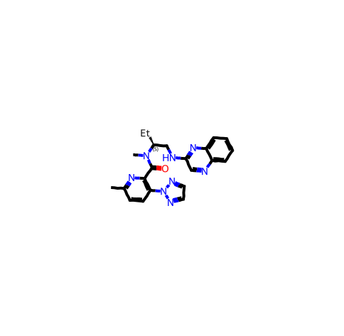 CC[C@@H](CNc1cnc2ccccc2n1)N(C)C(=O)c1nc(C)ccc1-n1nccn1